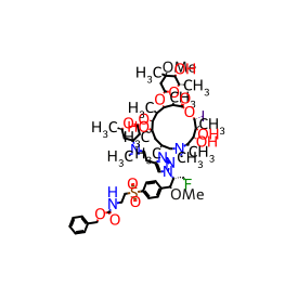 CO[C@H](c1ccc(S(=O)(=O)CCNC(=O)OCc2ccccc2)cc1)[C@@H](CF)n1cc(CCN(C)[C@@H]2C[C@H](O[C@@H]3[C@@H](C)[C@H](O[C@H]4C[C@@](C)(OC)[C@@H](O)[C@H](C)O4)[C@@H](C)C(=O)O[C@H](I)[C@@](C)(O)[C@H](O)[C@@H](C)N(C)C[C@H](C)C[C@@]3(C)O)O[C@H](C)C2)nn1